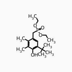 CCOP(=O)(Cc1cc(C(C)(C)C)c(O)c(C)c1C)OCC